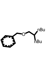 CCCCC(CCCC)COCc1ccccc1